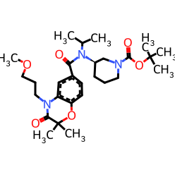 COCCCN1C(=O)C(C)(C)Oc2ccc(C(=O)N(C(C)C)[C@@H]3CCCN(C(=O)OC(C)(C)C)C3)cc21